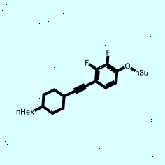 CCCCCCC1CCC(C#Cc2ccc(OCCCC)c(F)c2F)CC1